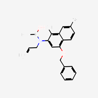 [C-]#[N+]c1ccc2c(OCc3ccccc3)cc(N(CC=C)B(C)O)c(C)c2c1